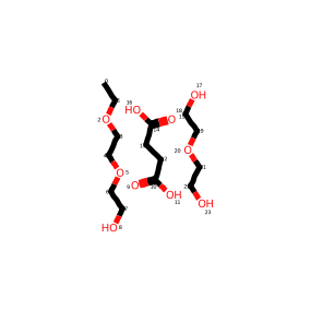 CCOCCOCCO.O=C(O)CCC(=O)O.OCCOCCO